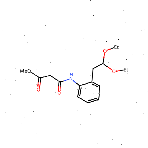 CCOC(Cc1ccccc1NC(=O)CC(=O)OC)OCC